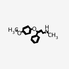 CNCC=C(Oc1ccc(OC)cc1)c1ccccc1